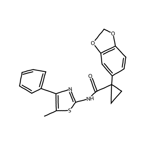 Cc1sc(NC(=O)C2(c3ccc4c(c3)OCO4)CC2)nc1-c1ccccc1